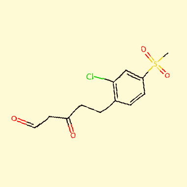 CS(=O)(=O)c1ccc(CCC(=O)CC=O)c(Cl)c1